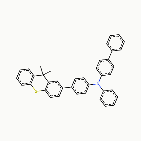 CC1(C)c2ccccc2Sc2ccc(-c3ccc(N(c4ccccc4)c4ccc(-c5ccccc5)cc4)cc3)cc21